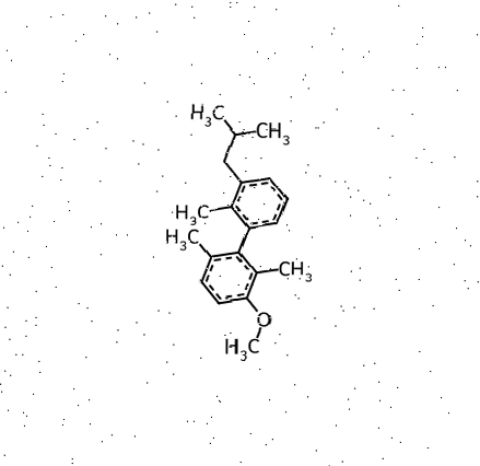 COc1ccc(C)c(-c2cccc(CC(C)C)c2C)c1C